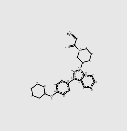 C=CC(=O)N1CCCC(n2nc(-c3ccc(OC4CCCCC4)cc3)c3cnccc32)C1